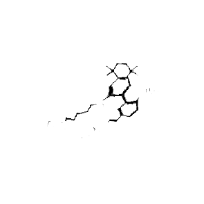 COc1ccc(C=CC(=O)O)cc1-c1cc2c(cc1OCCCCCOC(C)=O)C(C)(C)CCC2(C)C